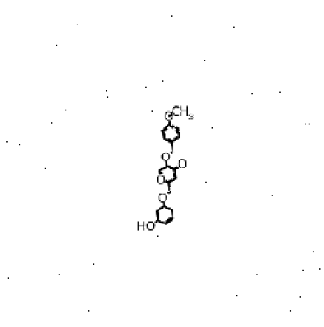 COc1ccc(COc2coc(COC3C=C(O)C=CC3)cc2=O)cc1